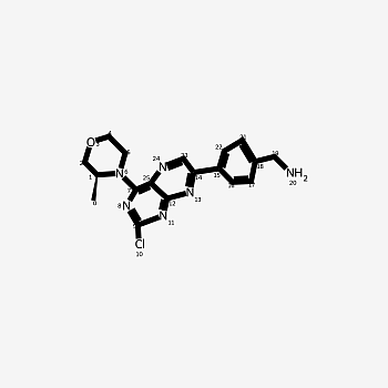 C[C@H]1COCCN1c1nc(Cl)nc2nc(-c3ccc(CN)cc3)cnc12